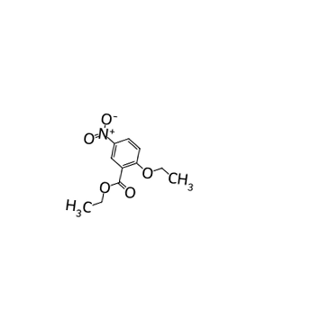 CCOC(=O)c1cc([N+](=O)[O-])ccc1OCC